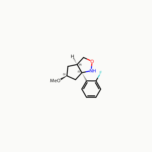 CO[C@H]1C[C@H]2CON[C@@]2(c2ccccc2F)C1